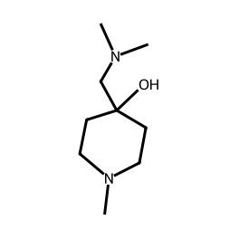 CN(C)CC1(O)CCN(C)CC1